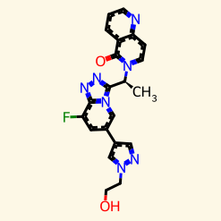 C[C@@H](c1nnc2c(F)cc(-c3cnn(CCO)c3)cn12)n1ccc2ncccc2c1=O